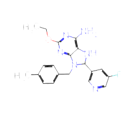 CCOc1nc(N)c2c(n1)N(Cc1ccc(C)cc1)C(c1cncc(F)c1)N2